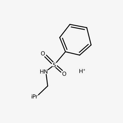 [CH2]C(C)CNS(=O)(=O)c1ccccc1.[H+]